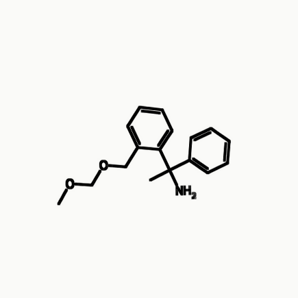 COCOCc1ccccc1C(C)(N)c1ccccc1